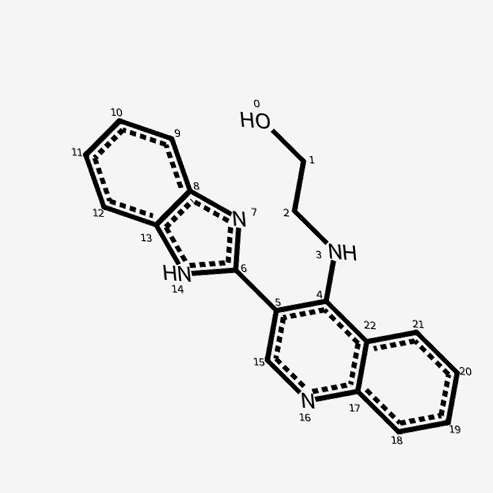 OCCNc1c(-c2nc3ccccc3[nH]2)cnc2ccccc12